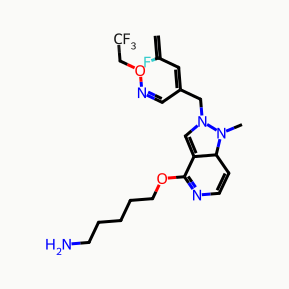 C=C(F)/C=C(\C=N/OCC(F)(F)F)CN1C=C2C(OCCCCCN)=NC=CC2N1C